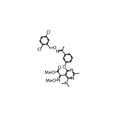 CON=C(C(=O)OC)c1c(Oc2cccc(C(C)=NOCc3cc(Cl)ccc3Cl)c2)nc(C)nc1N(C)C